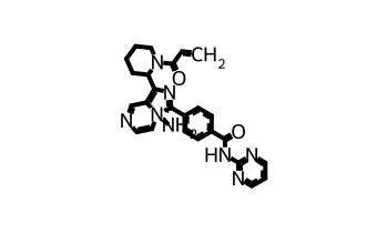 C=CC(=O)N1CCCCC1C1=C2C=NC=C[N+]2(N)C(c2ccc(C(=O)Nc3ncccn3)cc2)=N1